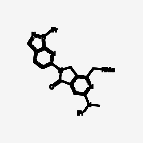 CNCc1nc(N(C)C(C)C)cc2c1CN(c1ccc3cnn(C(C)C)c3n1)C2=O